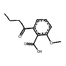 CCCC(=O)c1cccc(OC)c1C(=O)O